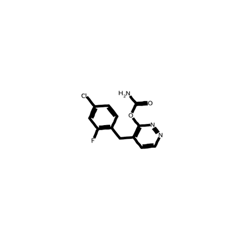 NC(=O)Oc1nnccc1Cc1ccc(Cl)cc1F